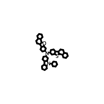 c1ccc(-n2c3ccccc3c3ccc(N(c4ccc5c(c4)oc4c6ccccc6ccc54)c4ccc5c(c4)sc4c6ccccc6ccc54)cc32)cc1